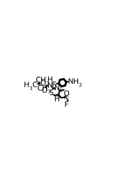 CC(C)(C)OC(=O)NC1=N[C@@]2(c3cc(N)ccc3F)CO[C@@H](CF)C[C@H]2CS1